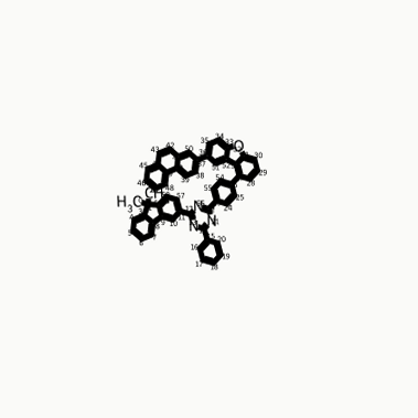 CC1(C)c2ccccc2-c2cc(-c3nc(-c4ccccc4)nc(-c4ccc(-c5cccc6oc7ccc(-c8ccc9c(ccc%10ccccc%109)c8)cc7c56)cc4)n3)ccc21